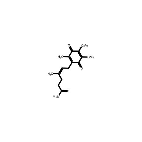 CNC(=O)CCC(C)=CCC1=C(C)C(=O)C(OC)=C(OC)C1=O